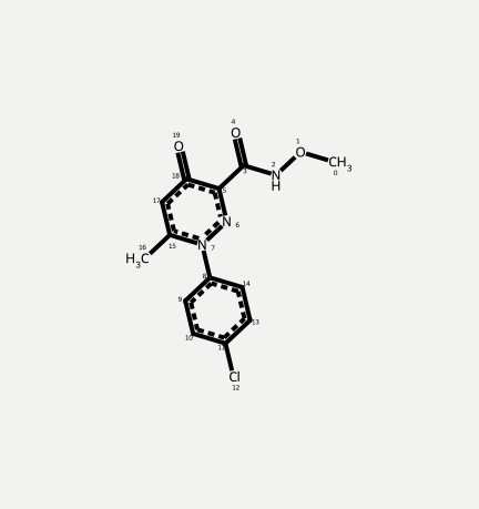 CONC(=O)c1nn(-c2ccc(Cl)cc2)c(C)cc1=O